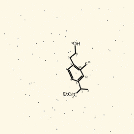 CCOC(=O)C(C)c1ccc(CCO)c(F)c1